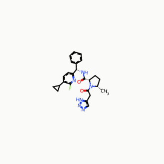 C[C@H]1CC[C@@H](C(=O)N[C@@H](c2ccccc2)c2ccc(C3CC3)c(F)n2)N1C(=O)Cc1cnn[nH]1